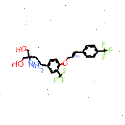 NC(CO)(CO)CCc1ccc(OC/C=C/c2ccc(C(F)(F)F)cc2)c(C(F)(F)F)c1